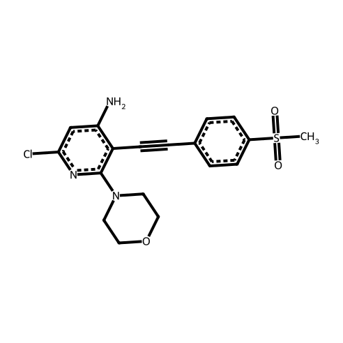 CS(=O)(=O)c1ccc(C#Cc2c(N)cc(Cl)nc2N2CCOCC2)cc1